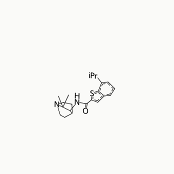 CC(C)c1cccc2cc(C(=O)NC3C4CCN(CC4)C3(C)C)sc12